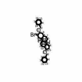 C[C@]12CC[C@H]3[C@@H](CCC4CC(OCc5ccccc5)C(Br)C[C@@H]43)[C@@H]1CC[C@@H]2OCc1ccccc1